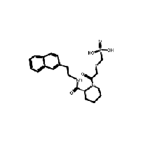 O=C(NCCc1ccc2ccccc2c1)[C@@H]1CCCCN1C(=O)CSCP(=O)(O)O